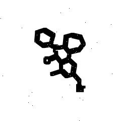 Cc1cc(CBr)cc(C)c1C(=O)P(C1=CC=CCC=C1)c1ccccc1